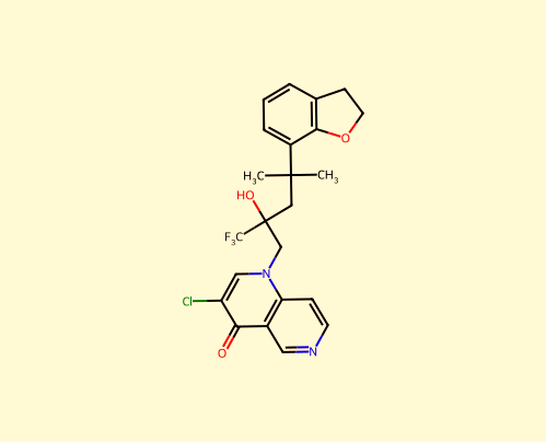 CC(C)(CC(O)(Cn1cc(Cl)c(=O)c2cnccc21)C(F)(F)F)c1cccc2c1OCC2